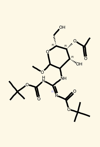 COC1O[C@H](CO)[C@H](OC(C)=O)[C@H](O)C1N/C(=N\C(=O)OC(C)(C)C)NC(=O)OC(C)(C)C